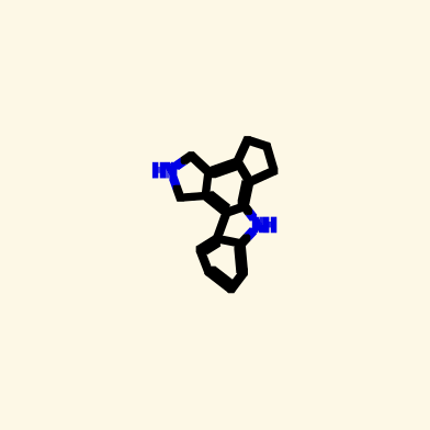 c1ccc2c(c1)[nH]c1c3c(c4c(c12)CNC4)CCC3